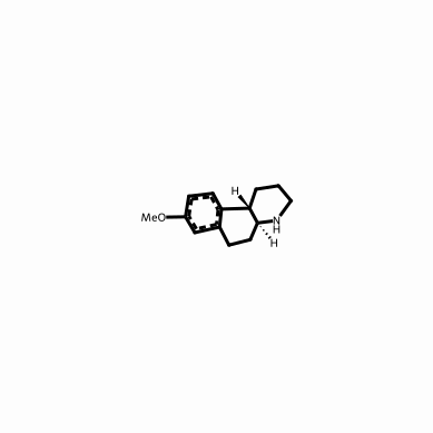 COc1ccc2c(c1)CC[C@@H]1NCCC[C@@H]21